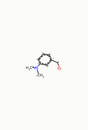 CN(C)c1cccc(C[O])c1